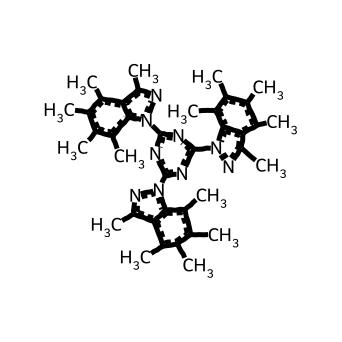 Cc1c(C)c(C)c2c(c(C)nn2-c2nc(-n3nc(C)c4c(C)c(C)c(C)c(C)c43)nc(-n3nc(C)c4c(C)c(C)c(C)c(C)c43)n2)c1C